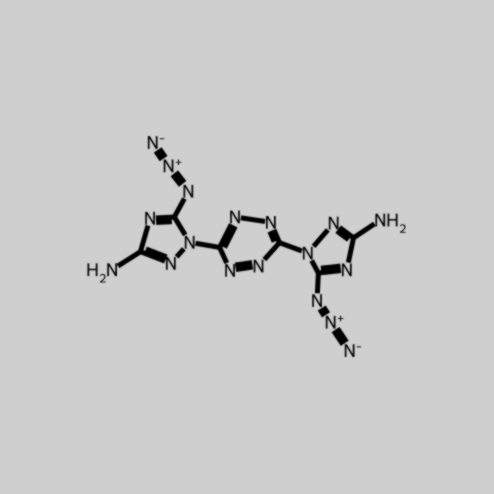 [N-]=[N+]=Nc1nc(N)nn1-c1nnc(-n2nc(N)nc2N=[N+]=[N-])nn1